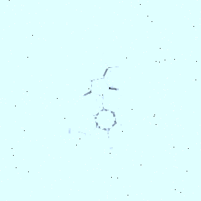 CCC(C)Oc1cc(N2C(=O)CC(=C(C)C)C2=O)ccc1Cl